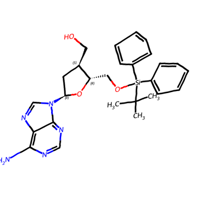 CC(C)(C)[Si](OC[C@@H]1O[C@@H](n2cnc3c(N)ncnc32)C[C@H]1CO)(c1ccccc1)c1ccccc1